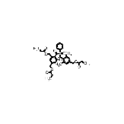 C=CC(=O)OCc1cc(C)c(C(=O)P(=O)(C(=O)c2c(C)cc(COC(=O)C=C)cc2COC(=O)C=C)c2ccccc2)c(C)c1